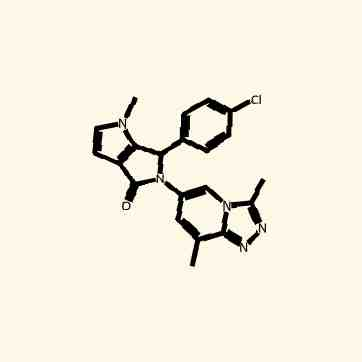 Cc1cc(N2C(=O)c3ccn(C)c3C2c2ccc(Cl)cc2)cn2c(C)nnc12